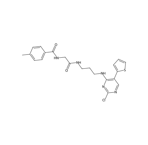 Cc1ccc(C(=O)NCC(=O)NCCCNc2nc(Cl)ncc2-c2cccs2)cc1